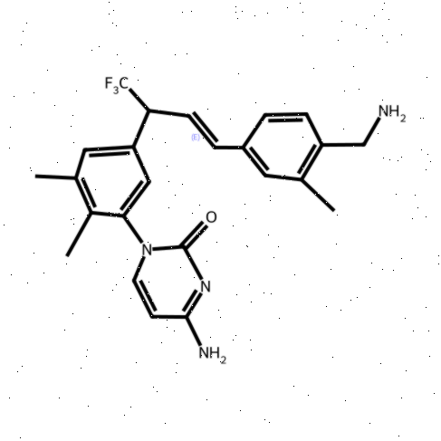 Cc1cc(/C=C/C(c2cc(C)c(C)c(-n3ccc(N)nc3=O)c2)C(F)(F)F)ccc1CN